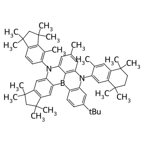 Cc1cc2c3c(c1)N(c1ccc4c(c1C)C(C)(C)CC4(C)C)c1cc4c(cc1B3c1ccc(C(C)(C)C)cc1N2c1cc2c(cc1C)C(C)(C)CCC2(C)C)C(C)(C)CC4(C)C